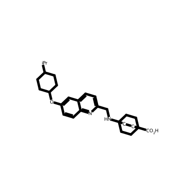 CC(C)C1CCC(Oc2ccc3nc(CNC45CCC(C(=O)O)(CC4)CC5)ccc3c2)CC1